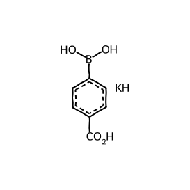 O=C(O)c1ccc(B(O)O)cc1.[KH]